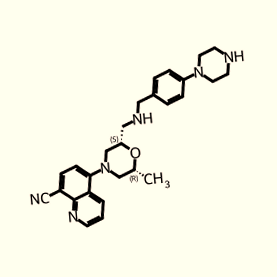 C[C@@H]1CN(c2ccc(C#N)c3ncccc23)C[C@H](CNCc2ccc(N3CCNCC3)cc2)O1